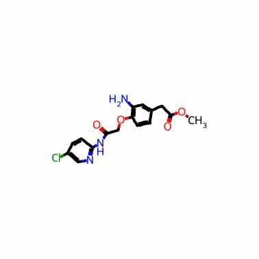 COC(=O)Cc1ccc(OCC(=O)Nc2ccc(Cl)cn2)c(N)c1